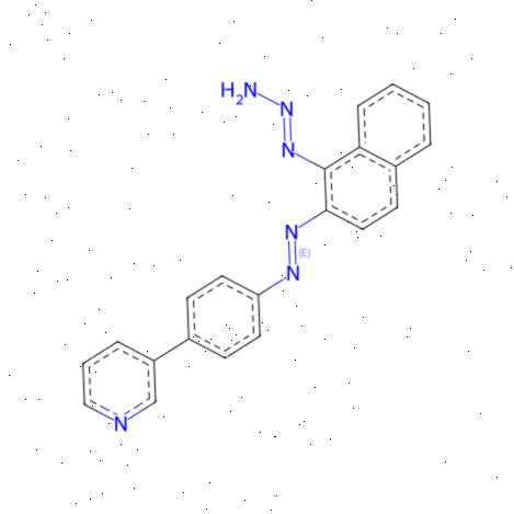 NN=Nc1c(/N=N/c2ccc(-c3cccnc3)cc2)ccc2ccccc12